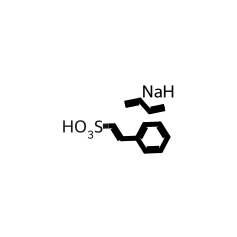 C=CC=C.O=S(=O)(O)C=Cc1ccccc1.[NaH]